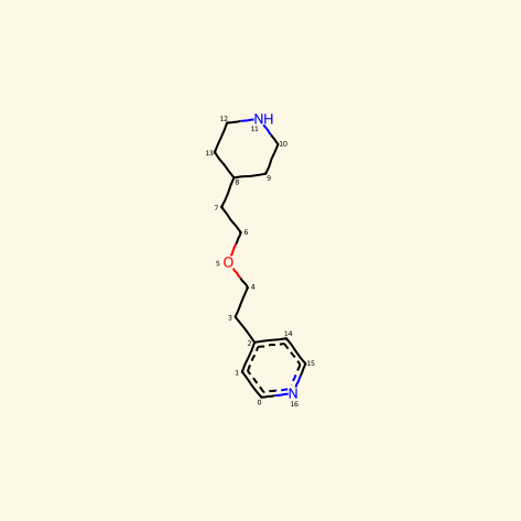 c1cc(CCOCCC2CCNCC2)ccn1